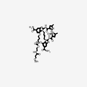 CCCOCCC(=O)NCCOC(=O)OCCCOc1cc(C(N)=O)cc2nc(NC(=O)c3cc(C)nn3CC)n(C/C=C/Cn3c(NC(=O)c4cc(C)nn4CC)nc4cc(C(N)=O)cc(OC)c43)c12